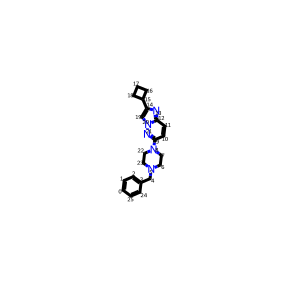 c1ccc(CN2CCN(c3ccc4nc(C5CCC5)cn4n3)CC2)cc1